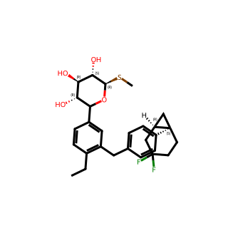 CCc1ccc(C2O[C@H](SC)[C@@H](O)[C@H](O)[C@H]2O)cc1Cc1ccc([C@]23CCC(F)(F)C[C@H]2C3)cc1